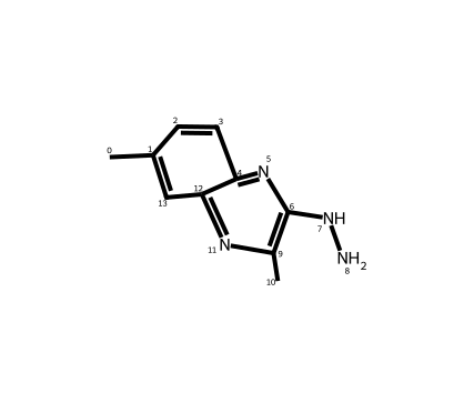 Cc1ccc2nc(NN)c(C)nc2c1